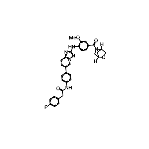 COc1cc(C(=O)N2C[C@@H]3C[C@H]2CO3)ccc1Nc1nc2ccc(-c3ccc(NC(=O)Cc4ccc(F)cc4)cc3)cn2n1